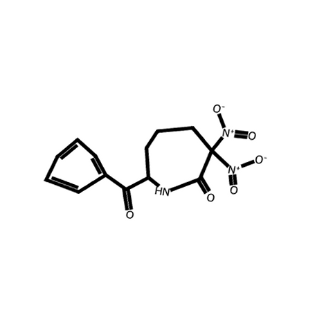 O=C(c1ccccc1)C1CCCC([N+](=O)[O-])([N+](=O)[O-])C(=O)N1